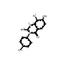 CC(=O)c1c(O)ccc2c(=O)n(-c3ccc(Cl)cc3)c(C(C)C)nc12